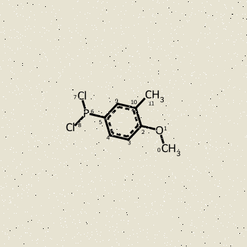 COc1ccc(P(Cl)Cl)cc1C